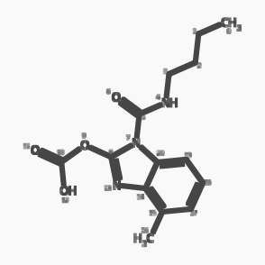 CCCCNC(=O)n1c(OC(=O)O)nc2c(C)cccc21